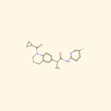 CC(C(=O)Nc1ccc(F)cn1)c1ccc2c(c1)CCCN2C(=O)C1CC1